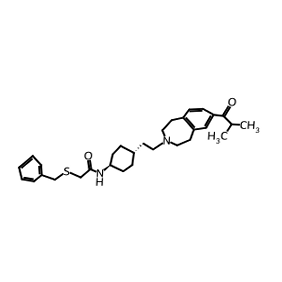 CC(C)C(=O)c1ccc2c(c1)CCN(CC[C@H]1CC[C@H](NC(=O)CSCc3ccccc3)CC1)CC2